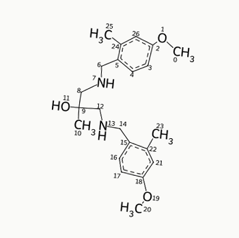 COc1ccc(CNCC(C)(O)CNCc2ccc(OC)cc2C)c(C)c1